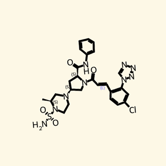 C[C@H]1CN([C@H]2C[C@@H](C(=O)Nc3ccccc3)N(C(=O)/C=C/c3ccc(Cl)cc3-n3cnnn3)C2)CCN1S(N)(=O)=O